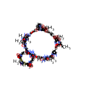 CCCC1C[C@H]2C(O)N3C(=O)OCc4ccc(cc4)NC(=O)[C@H](C)NC(=O)C(C(C)C)NC(=O)CCCNC(=O)[C@H]4NC(=O)CCCN5C(=O)CC(SC6(C)N(I)C6(C)SC6CC(=O)N(CCCC(=O)N[C@H]4C(=O)NCCCC(=O)N[C@@H](C(C)C)C(=O)N[C@@H](C)C(=O)Nc4ccc(cc4)COC(=O)N4C[C@@H]7CCCN7C(=O)c7cc(OC)c(cc74)OCCCCCOc4cc3c(cc4OC)C(=O)N2C1)C6=O)C5=O